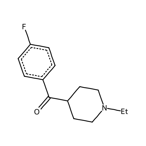 [CH2]CN1CCC(C(=O)c2ccc(F)cc2)CC1